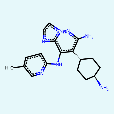 Cc1ccc(Nc2c3nccn3nc(N)c2[C@H]2CC[C@H](N)CC2)nc1